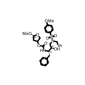 COc1ccc(S(=O)(=O)N(CC(C)C)C[C@@H](O)[C@H](Cc2ccccc2)NC(=O)OC2CO[C@@H](OC)C2)cc1